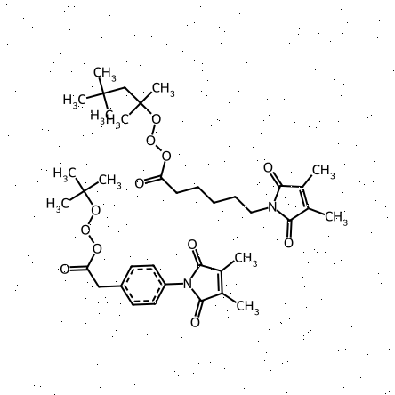 CC1=C(C)C(=O)N(CCCCCC(=O)OOOC(C)(C)CC(C)(C)C)C1=O.CC1=C(C)C(=O)N(c2ccc(CC(=O)OOOC(C)(C)C)cc2)C1=O